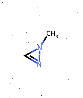 CN1C=N1